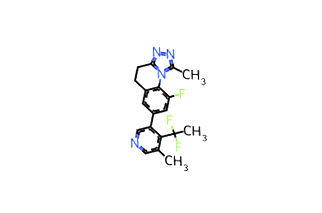 Cc1cncc(-c2cc(F)c3c(c2)CCc2nnc(C)n2-3)c1C(C)(F)F